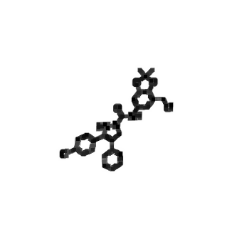 CC1(C)Oc2cc(NC(=O)N3CC(c4ccccc4)=C(c4ccc(Cl)cc4)N3)cc(CCl)c2O1